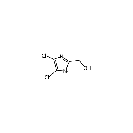 OCC1=NC(Cl)=C(Cl)[N]1